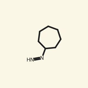 N=N[C]1CCCCCC1